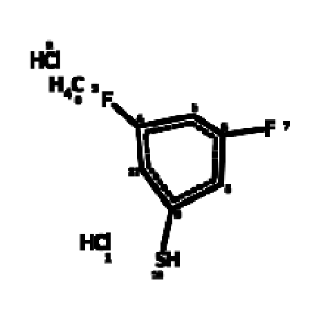 C.Cl.Cl.Fc1cc(F)cc(S)c1